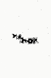 CC(C)COC(=O)NCC(=CF)COc1ccc(S(=O)(=O)N(C)C)cc1